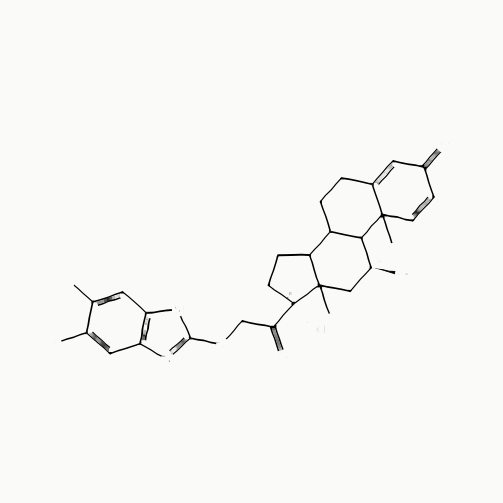 CC12C=CC(=O)C=C1CCC1C2[C@@H](O)CC2(C)C1CC[C@]2(O)C(=O)CSc1nc2cc(F)c(F)cc2[nH]1